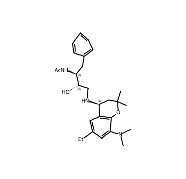 CCc1cc2c(c(N(C)C)c1)OC(C)(C)C[C@@H]2NC[C@H](O)[C@H](Cc1ccccc1)NC(C)=O